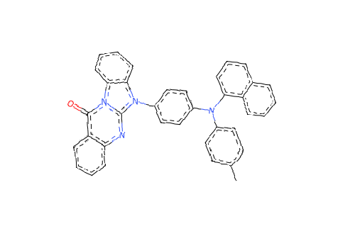 Cc1ccc(N(c2ccc(-n3c4ccccc4n4c(=O)c5ccccc5nc34)cc2)c2cccc3ccccc23)cc1